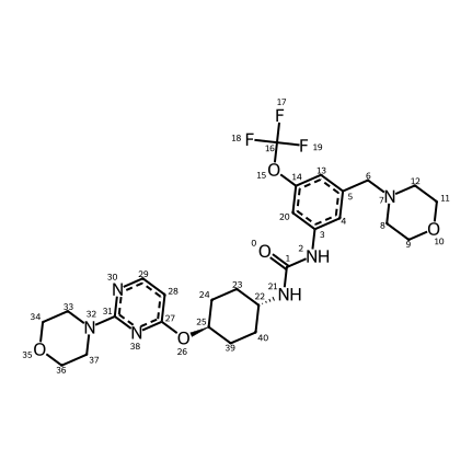 O=C(Nc1cc(CN2CCOCC2)cc(OC(F)(F)F)c1)N[C@H]1CC[C@H](Oc2ccnc(N3CCOCC3)n2)CC1